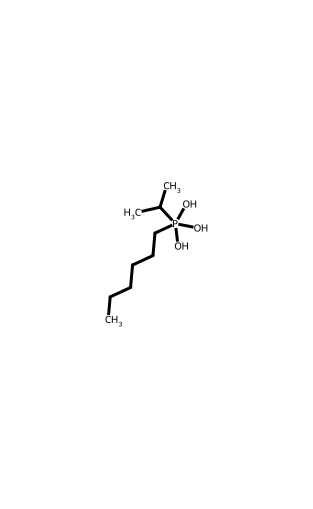 CCCCCCP(O)(O)(O)C(C)C